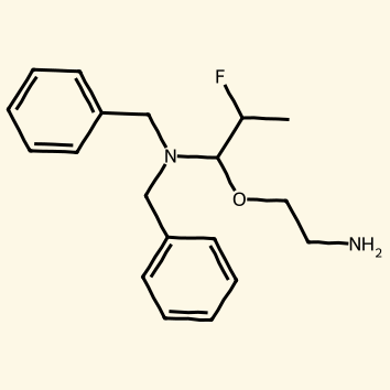 CC(F)C(OCCN)N(Cc1ccccc1)Cc1ccccc1